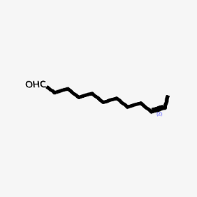 C/C=C\CCCCCCCCC=O